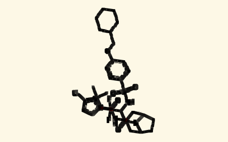 CC(C)(C)OC(=O)NC1CC2CCC(C1)N2C(=O)C(NS(=O)(=O)c1ccc(OCC2CCCCC2)cc1)C(F)(F)c1ccc(Cl)s1